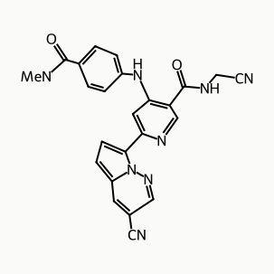 CNC(=O)c1ccc(Nc2cc(-c3ccc4cc(C#N)cnn34)ncc2C(=O)NCC#N)cc1